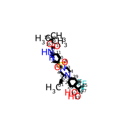 CC#C[C@H]1CN(S(=O)(=O)c2ccc(NC(=O)OC(C)(C)C)nc2)CCN1c1ccc(C(O)(CO)C(F)(F)F)cc1